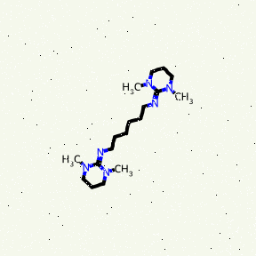 CN1CCCN(C)C1=NCCCCCCN=C1N(C)CCCN1C